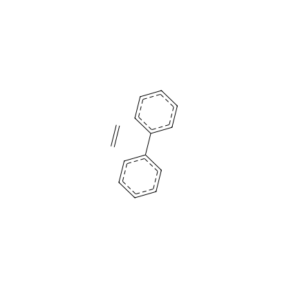 C=C.c1ccc(-c2ccccc2)cc1